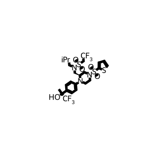 CC(C)CN(C[C@H]1CN(S(=O)(=O)c2cccs2)CCN1c1ccc(C(C)(O)C(F)(F)F)cc1)S(=O)(=O)CC(F)(F)F